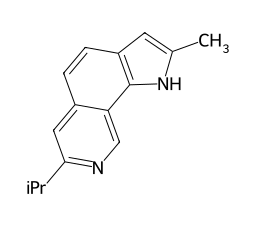 Cc1cc2ccc3cc(C(C)C)ncc3c2[nH]1